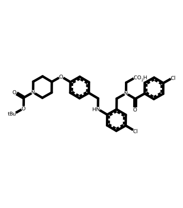 CC(C)(C)OC(=O)N1CCC(Oc2ccc(CNc3ccc(Cl)cc3CN(CC(=O)O)C(=O)c3ccc(Cl)cc3)cc2)CC1